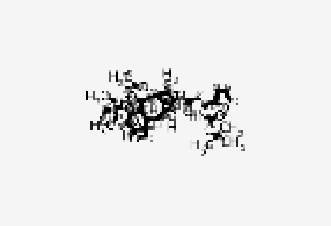 CC[Si](CC)(CC)O[C@H]1C[C@H]2OC[C@@]2(OC(C)=O)[C@H]2C[C@]3(O)C[C@H](OC(=O)C[C@@H](NC(=O)OC(C)(C)C)c4ccco4)C(C)=C([C@@H](OC(C)=O)C(=O)[C@]12C)C3(C)C